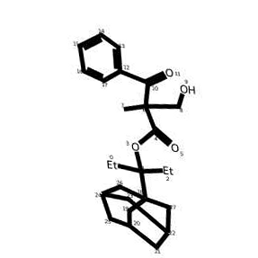 CCC(CC)(OC(=O)C(C)(CO)C(=O)c1ccccc1)C12CC3CC(CC(C3)C1)C2